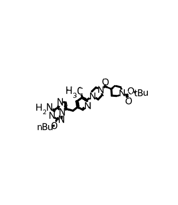 CCCCOc1nc(N)c2ncc(Cc3cnc(N4CCN(C(=O)C5CCN(C(=O)OC(C)(C)C)CC5)CC4)c(C)c3)n2n1